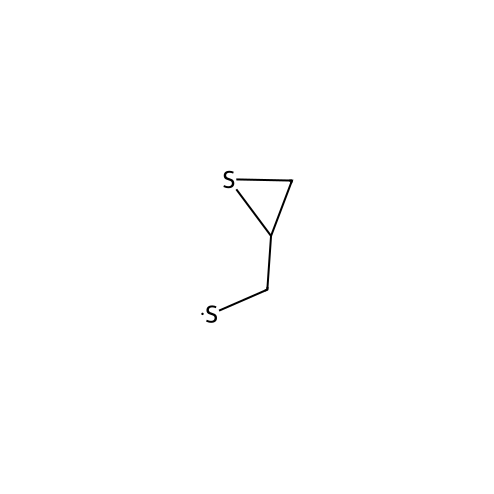 [S]CC1CS1